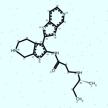 CC[C@@H](C)NCCC(=O)Nc1sc2c(c1-c1nc3cnccc3s1)CCNC2